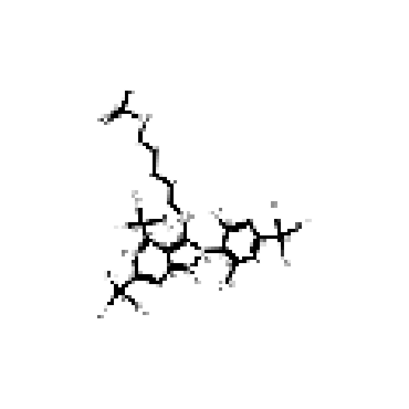 CC(=O)OCCCCCNc1c2c(C(F)(F)F)nc(C(F)(F)F)cc2nn1-c1c(Cl)cc(C(F)(F)F)cc1Cl